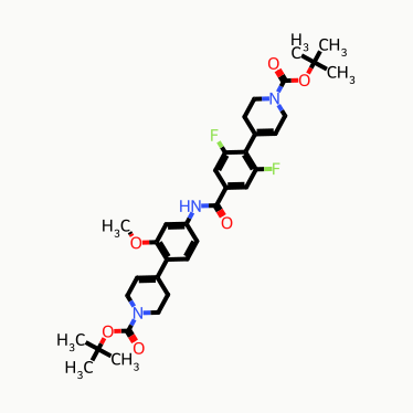 COc1cc(NC(=O)c2cc(F)c(C3=CCN(C(=O)OC(C)(C)C)CC3)c(F)c2)ccc1C1=CCN(C(=O)OC(C)(C)C)CC1